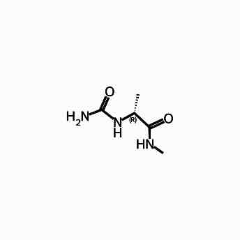 CNC(=O)[C@@H](C)NC(N)=O